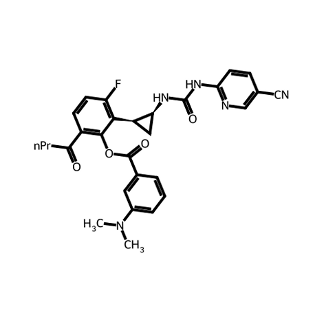 CCCC(=O)c1ccc(F)c([C@@H]2C[C@@H]2NC(=O)Nc2ccc(C#N)cn2)c1OC(=O)c1cccc(N(C)C)c1